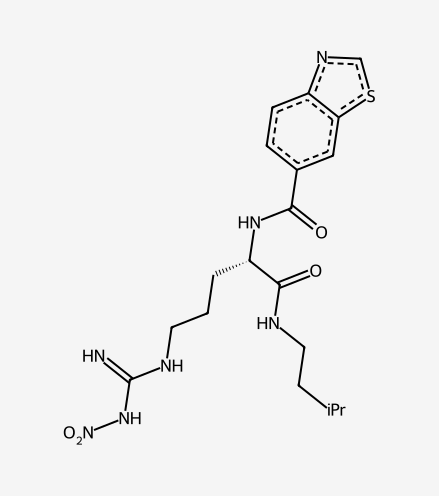 CC(C)CCNC(=O)[C@H](CCCNC(=N)N[N+](=O)[O-])NC(=O)c1ccc2ncsc2c1